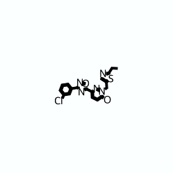 CCc1ncc(Cn2nc(-c3nc(-c4cccc(Cl)c4)no3)ccc2=O)s1